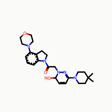 CC1(C)CCN(C2=NN(CC(=O)N3CCc4c(N5CCOCC5)cccc43)C(O)C=C2)CC1